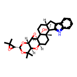 CC1(C)OC1[C@@H]1O[C@H]2[C@@H](O[C@@H]3CC[C@]4(C)[C@](O)(CC[C@@H]5Cc6c([nH]c7ccccc67)[C@]54C)[C@@]34O[C@@H]24)C(C)(C)O1